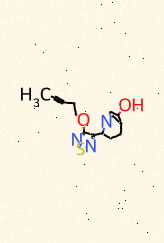 CC#CCCOc1nsnc1C1CCC2CN1CC2O